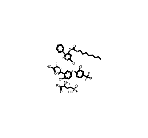 CCCCCCCCSC(=O)Oc1cc(Cl)nnc1-c1ccccc1.CP(=O)(O)CCC(N)C(=O)O.C[C@H](OC(=O)c1cc(Oc2ccc(C(F)(F)F)cc2Cl)ccc1Cl)C(=O)O